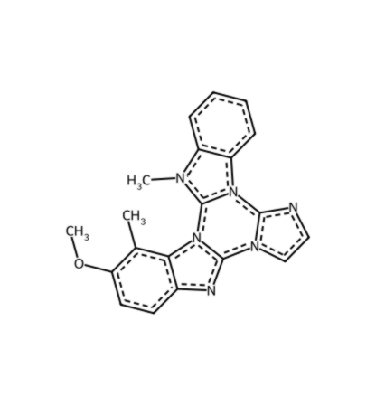 COc1ccc2nc3n4ccnc4n4c5ccccc5[n+](C)c4n3c2c1C